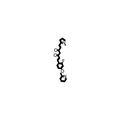 Cn1cccc1C=CC(=O)CC(=O)C=Cc1ccc(OCc2ccccn2)cc1F